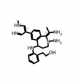 CN/C=C(\C=N)c1ccc2c(c1)C(Nc1ccccc1CCO)CCN(N)/C2=C(/C)N